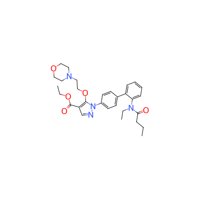 CCCC(=O)N(CC)c1ccccc1-c1ccc(-n2ncc(C(=O)OCC)c2OCCN2CCOCC2)cc1